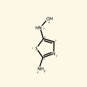 Nc1ncc(NO)s1